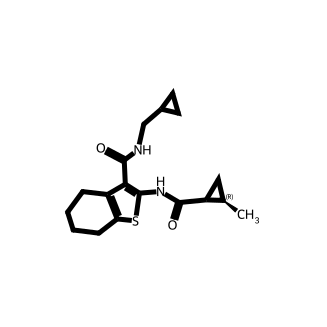 C[C@@H]1CC1C(=O)Nc1sc2c(c1C(=O)NCC1CC1)CCCC2